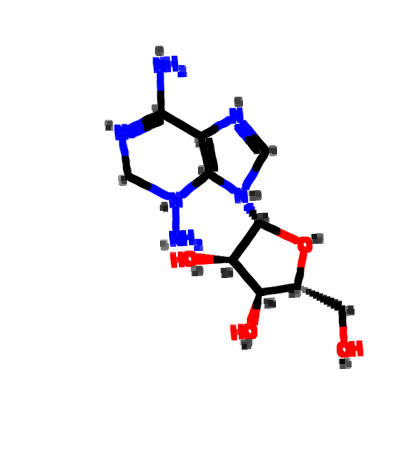 NC1=NCN(N)c2c1ncn2[C@@H]1O[C@H](CO)[C@@H](O)[C@H]1O